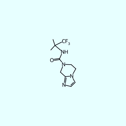 CC(C)(NC(=O)N1CCn2ccnc2C1)C(F)(F)F